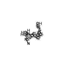 N#Cc1cncc(COc2cc(OCc3cccc(-c4cccc5c4CCN5CCCN4CCC(O)C4)c3Cl)c(Cl)cc2CNC(CO)C(=O)O)c1